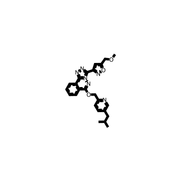 COCc1cc(-c2nnc3c4ccccc4c(OCc4ccc(CC(C)C)cn4)nn23)no1